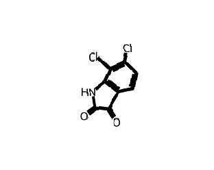 O=C1Nc2c(ccc(Cl)c2Cl)C1=O